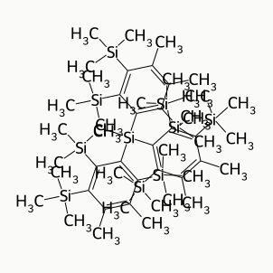 Cc1c(C)c([Si](C)(C)C)c([Si](Cl)(c2c([Si](C)(C)C)c(C)c(C)c([Si](C)(C)C)c2[Si](C)(C)C)c2c([Si](C)(C)C)c(C)c(C)c([Si](C)(C)C)c2[Si](C)(C)C)c([Si](C)(C)C)c1[Si](C)(C)C